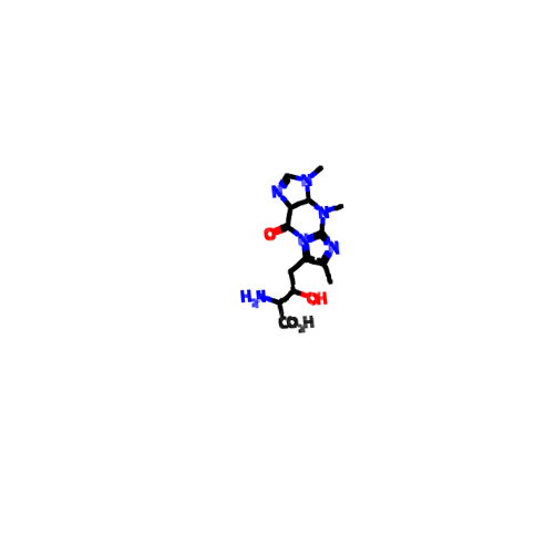 Cc1nc2n(c1CC(O)C(N)C(=O)O)C(=O)C1N=CN(C)C1N2C